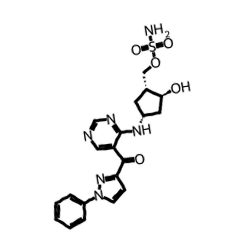 NS(=O)(=O)OC[C@H]1C[C@@H](Nc2ncncc2C(=O)c2ccn(-c3ccccc3)n2)C[C@@H]1O